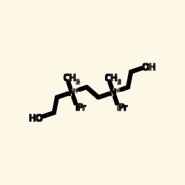 CC(C)[N+](C)(CCO)CC[N+](C)(CCO)C(C)C